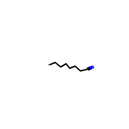 [CH2]CCCCCCC#N